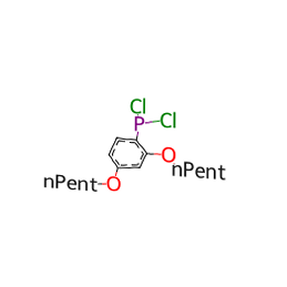 CCCCCOc1ccc(P(Cl)Cl)c(OCCCCC)c1